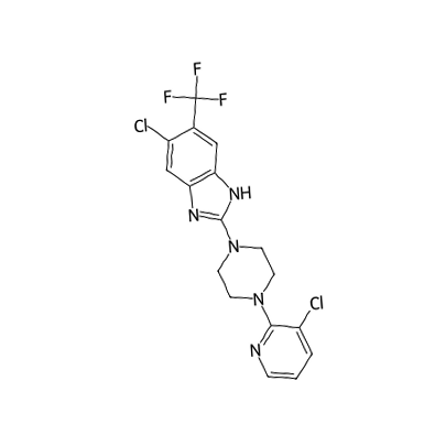 FC(F)(F)c1cc2[nH]c(N3CCN(c4ncccc4Cl)CC3)nc2cc1Cl